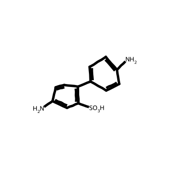 Nc1ccc(-c2ccc(N)cc2S(=O)(=O)O)cc1